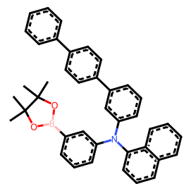 CC1(C)OB(c2cccc(N(c3cccc(-c4ccc(-c5ccccc5)cc4)c3)c3cccc4ccccc34)c2)OC1(C)C